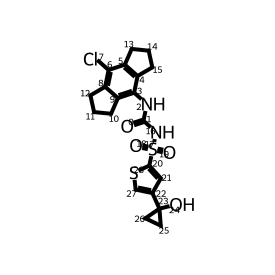 O=C(Nc1c2c(c(Cl)c3c1CCC3)CCC2)NS(=O)(=O)c1cc(C2(O)CC2)cs1